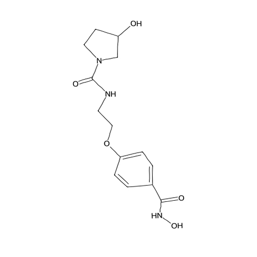 O=C(NO)c1ccc(OCCNC(=O)N2CCC(O)C2)cc1